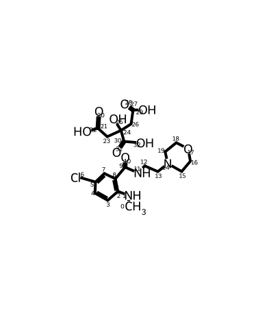 CNc1ccc(Cl)cc1C(=O)NCCN1CCOCC1.O=C(O)CC(O)(CC(=O)O)C(=O)O